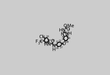 COC(=O)Nc1nc2cc(Oc3ccc(NC(=O)Nc4ccc(Cl)c(C(F)(F)F)c4)cc3)ccc2[nH]1